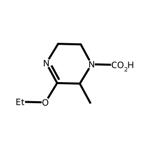 CCOC1=NCCN(C(=O)O)C1C